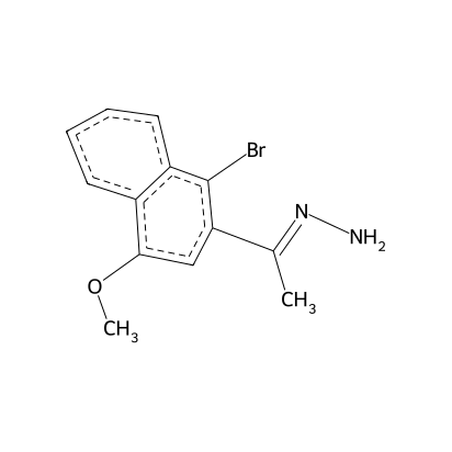 COc1cc(C(C)=NN)c(Br)c2ccccc12